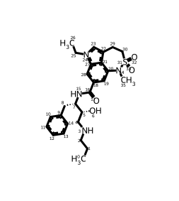 CCCNC[C@@H](O)[C@H](Cc1ccccc1)NC(=O)c1cc2c3c(cn(CC)c3c1)CCS(=O)(=O)N2C